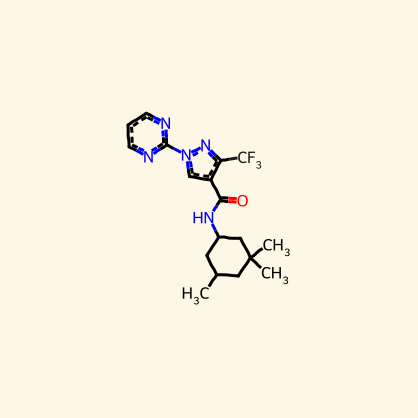 CC1CC(NC(=O)c2cn(-c3ncccn3)nc2C(F)(F)F)CC(C)(C)C1